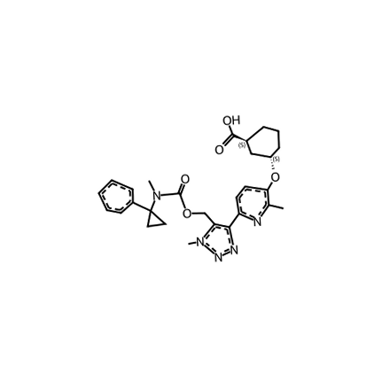 Cc1nc(-c2nnn(C)c2COC(=O)N(C)C2(c3ccccc3)CC2)ccc1O[C@H]1CCC[C@H](C(=O)O)C1